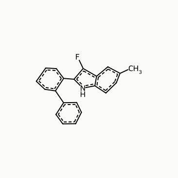 Cc1ccc2[nH]c(-c3ccccc3-c3ccccc3)c(F)c2c1